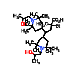 CCC(CC(C1CC(C)(C)N(CC(C)O)C(C)(C)C1)C1CC(C)(C)N(CC(C)O)C(C)(C)C1)(C(=O)O)C(=O)O